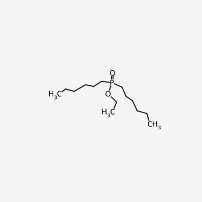 CCCCCCP(=O)(CCCCCC)OCC